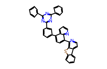 c1ccc(-c2nc(-c3ccccc3)nc(-c3cccc(-c4ccc(-c5nccc6c5sc5ccccc56)c5ncccc45)c3)n2)cc1